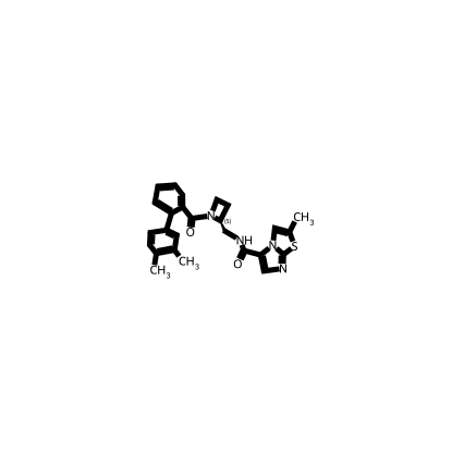 Cc1cn2c(C(=O)NC[C@@H]3CCN3C(=O)c3ccccc3-c3ccc(C)c(C)c3)cnc2s1